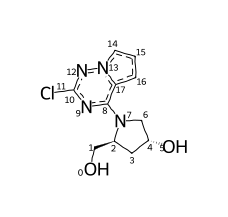 OC[C@@H]1C[C@@H](O)CN1c1nc(Cl)nn2cccc12